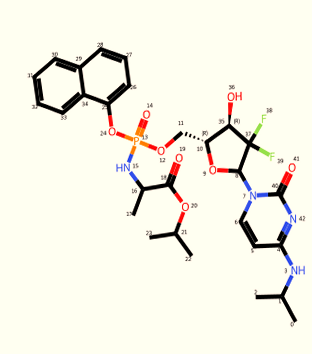 CC(C)Nc1ccn(C2O[C@H](COP(=O)(NC(C)C(=O)OC(C)C)Oc3cccc4ccccc34)[C@@H](O)C2(F)F)c(=O)n1